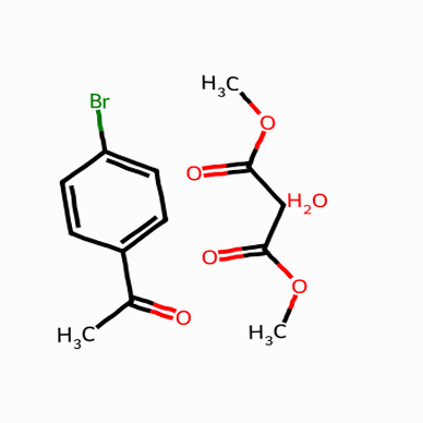 CC(=O)c1ccc(Br)cc1.COC(=O)CC(=O)OC.O